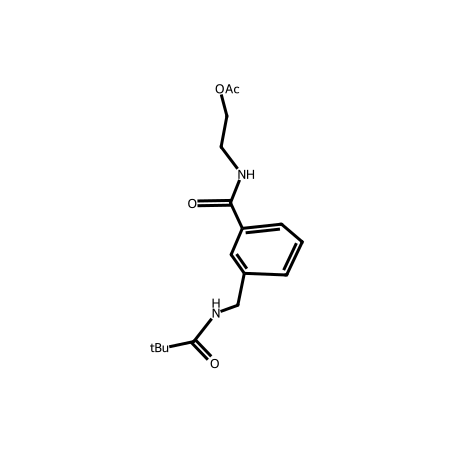 CC(=O)OCCNC(=O)c1cccc(CNC(=O)C(C)(C)C)c1